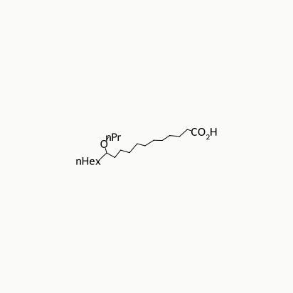 CCCCCCC(CCCCCCCCCCC(=O)O)OCCC